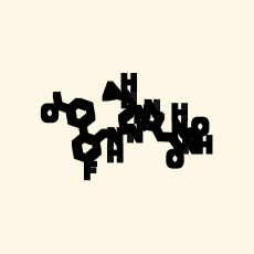 CC(=O)c1cccc(-c2ccc(F)cc2CNc2cc(NC3CC3)n3ncc(/C=C4\NC(=O)NC4=O)c3n2)c1